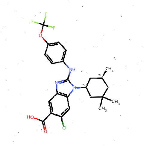 C[C@@H]1C[C@H](n2c(Nc3ccc(OC(F)(F)F)cc3)nc3cc(C(=O)O)c(Cl)cc32)CC(C)(C)C1